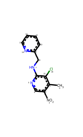 Cc1c([N+](=O)[O-])cnc(NCc2ccccn2)c1Cl